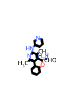 Cc1nc(Nc2cccnc2)c(C)c2c1-c1ccccc1OC2.NC=O